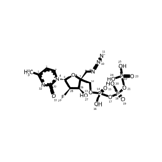 Cc1ccn([C@@H]2O[C@](CN=[N+]=[N-])(COP(=O)(O)OP(=O)(O)OP(=O)(O)O)[C@@H](O)[C@H]2F)c(=O)n1